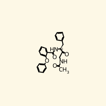 CC(=O)NCC(=O)[C@H](Cc1ccccc1)NC(=O)c1ccccc1Oc1ccccc1